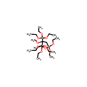 CCO[Si](CC(O[SiH3])([Si](OCC)(OCC)OCC)[Si](OCC)(OCC)OCC)(OCC)OCC